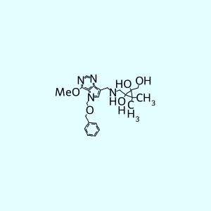 COc1ncnc2c(CNCC3(O)C(C)(C)C3(O)CO)cn(COCc3ccccc3)c12